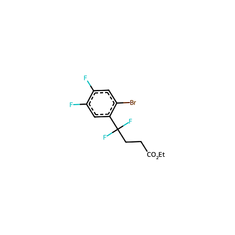 CCOC(=O)CCC(F)(F)c1cc(F)c(F)cc1Br